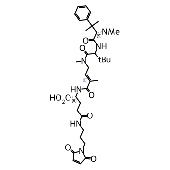 CN[C@H](C(=O)NC(C(=O)N(C)C/C=C(\C)C(=O)N[C@H](CCC(=O)NCCCN1C(=O)C=CC1=O)C(=O)O)C(C)(C)C)C(C)(C)c1ccccc1